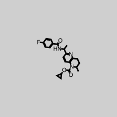 CC(NC(=O)c1ccc(F)cc1)c1ccc2c(n1)CCC(C)N2C(=O)OC1CC1